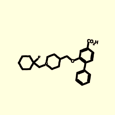 O=C(O)c1ccc(-c2ccccc2)c(OCC2CCN(CC3(F)CCCCC3)CC2)c1